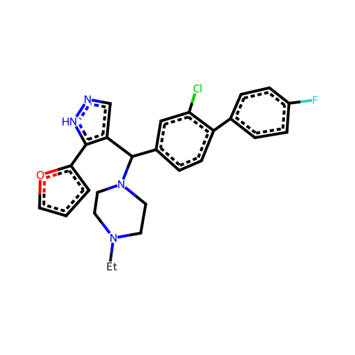 CCN1CCN(C(c2ccc(-c3ccc(F)cc3)c(Cl)c2)c2cn[nH]c2-c2ccco2)CC1